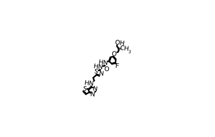 C[C@@H](CO)COc1cc(F)cc(NC(=O)Nc2ncc(CCNc3ncnc4ccsc34)s2)c1